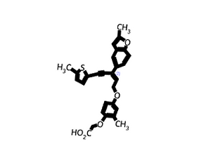 Cc1cc2cc(/C(C#Cc3ccc(C)s3)=C/COc3ccc(OCC(=O)O)c(C)c3)ccc2o1